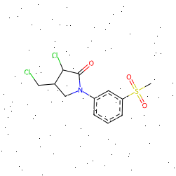 CS(=O)(=O)c1cccc(N2CC(CCl)C(Cl)C2=O)c1